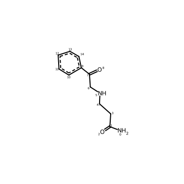 NC(=O)C[CH]NCC(=O)c1ccccc1